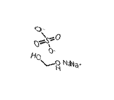 O=S(=O)([O-])[O-].OCO.[Na+].[Na+]